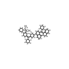 CC1(C)c2ccccc2-c2ccc(N(c3ccccc3)c3ccc(-c4ccc(N(c5ccccc5)c5cccc6ccccc56)c5ccccc45)cc3)cc21